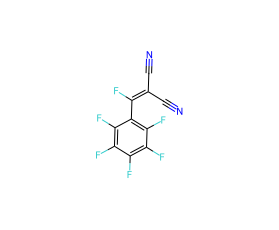 N#CC(C#N)=C(F)c1c(F)c(F)c(F)c(F)c1F